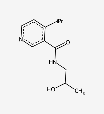 CC(O)CNC(=O)c1cnccc1C(C)C